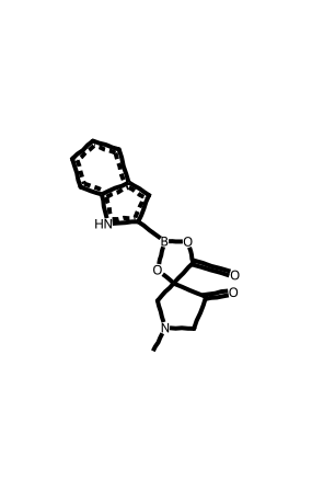 CN1CC(=O)C2(C1)OB(c1cc3ccccc3[nH]1)OC2=O